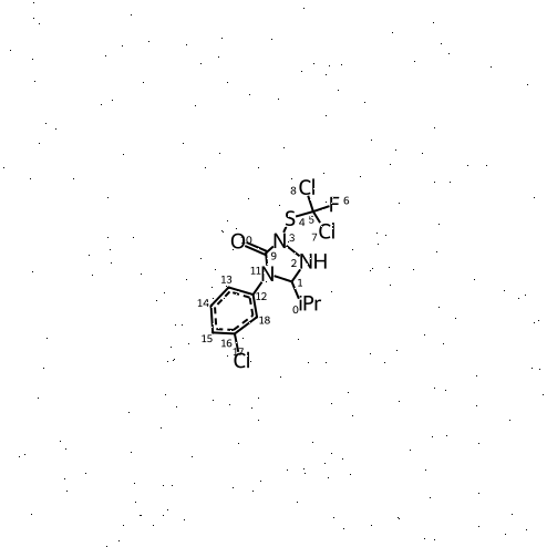 CC(C)C1NN(SC(F)(Cl)Cl)C(=O)N1c1cccc(Cl)c1